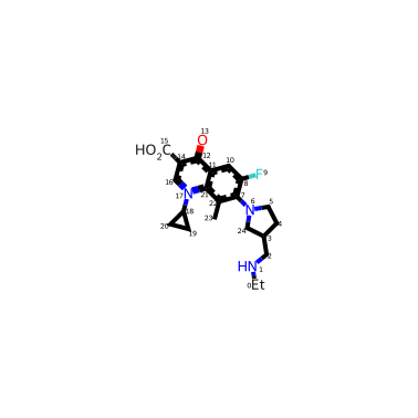 CCNCC1CCN(c2c(F)cc3c(=O)c(C(=O)O)cn(C4CC4)c3c2C)C1